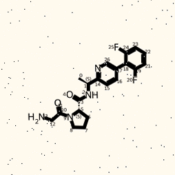 C[C@H](NC(=O)[C@@H]1CCCN1C(=O)CN)c1ccc(-c2c(F)cccc2F)cn1